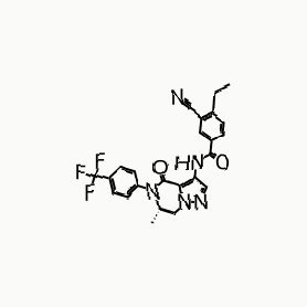 CCc1ccc(C(=O)Nc2cnn3c2C(=O)N(c2ccc(C(F)(F)F)cc2)[C@@H](C)C3)cc1C#N